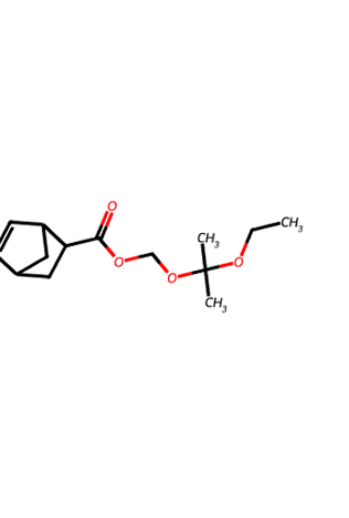 CCOC(C)(C)OCOC(=O)C1CC2C=CC1C2